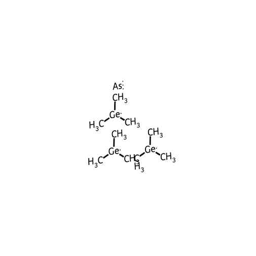 [As].[CH3][Ge]([CH3])[CH3].[CH3][Ge]([CH3])[CH3].[CH3][Ge]([CH3])[CH3]